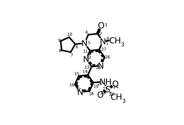 CN1C(=O)CN(C2CCCC2)c2nc(-c3ccncc3NS(C)(=O)=O)ncc21